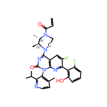 C=CC(=O)N1CCN(c2nc(=O)n(-c3c(C)ccnc3C(C)C)c3nc(-c4c(O)cccc4F)c(F)cc23)[C@@H](C)[C@@H]1C